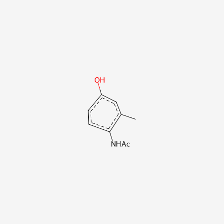 CC(=O)Nc1ccc(O)cc1C